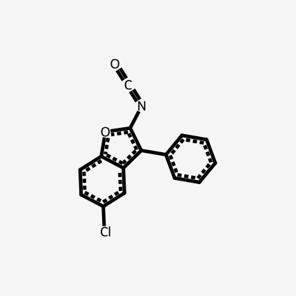 O=C=Nc1oc2ccc(Cl)cc2c1-c1ccccc1